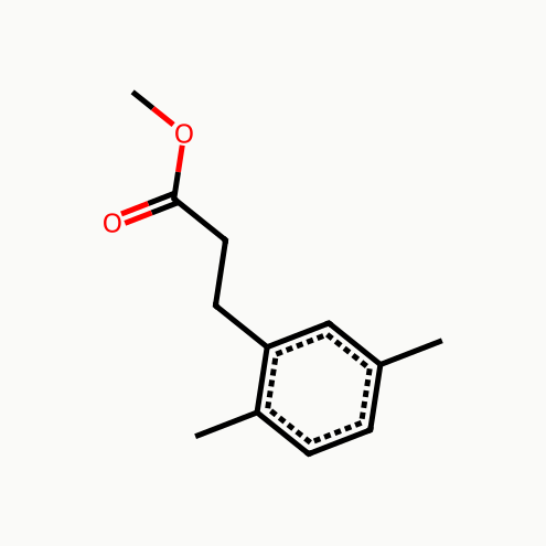 COC(=O)CCc1cc(C)ccc1C